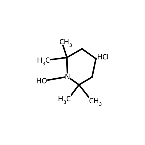 CC1(C)CCCC(C)(C)N1O.Cl